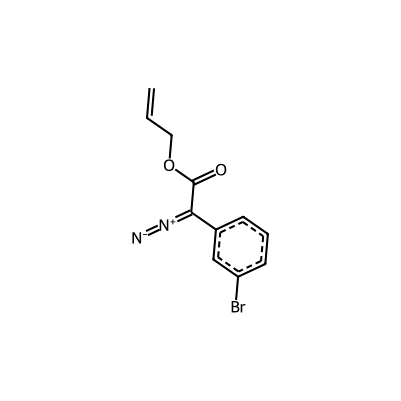 C=CCOC(=O)C(=[N+]=[N-])c1cccc(Br)c1